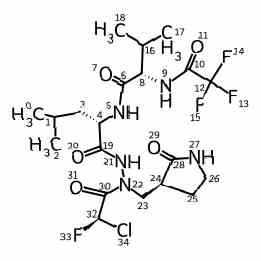 CC(C)C[C@H](NC(=O)[C@@H](NC(=O)C(F)(F)F)C(C)C)C(=O)NN(C[C@@H]1CCNC1=O)C(=O)[C@H](F)Cl